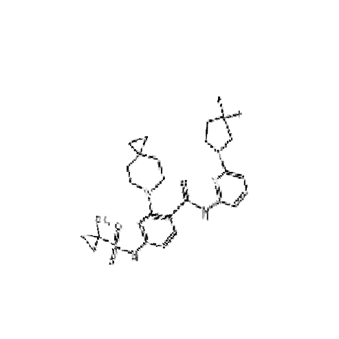 CC1(S(=O)(=O)Nc2ccc(C(=O)Nc3cccc(N4CCC(F)(F)C4)n3)c(N3CCC4(CC3)CC4)c2)CC1